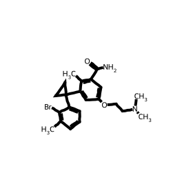 Cc1cccc(C2(c3cc(OCCN(C)C)cc(C(N)=O)c3C)CC2)c1Br